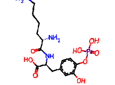 NCCCC[C@H](N)C(=O)N[C@@H](Cc1ccc(OP(=O)(O)O)c(O)c1)C(=O)O